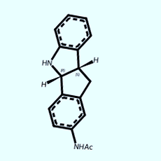 CC(=O)Nc1ccc2c(c1)C[C@H]1c3ccccc3N[C@@H]21